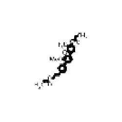 C=CC(=O)OCCCc1ccc(-c2ccc3c(oc4c(C(F)(F)F)c(OC(=O)C=C)ccc43)c2OC)cc1